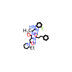 CC[C@H]1CCCCN1C(=O)CC(NC(=O)CCc1ccccc1)C(=O)NC(C)c1nc2c(F)cccc2[nH]1